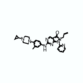 C=CCn1c(=O)c2cnc(Nc3ccc(N4CCN(C5CC5)CC4)c(C)c3)nc2n1-c1ccccn1